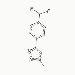 Cn1cc(-c2ccc(C(F)F)cc2)nn1